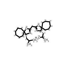 CC(C)C[C@@H]1N=C(CC2=N[C@@H](CC(C)C)C3(CCCCCC3)O2)OC12CCCCCC2